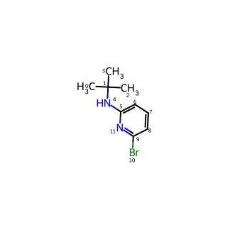 CC(C)(C)Nc1cccc(Br)n1